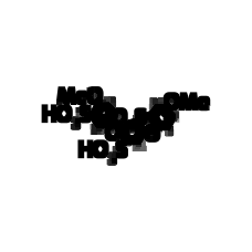 COc1ccc(Oc2ccc(Oc3ccc(OC)c(S(=O)(=O)O)c3)c(S(=O)(=O)O)c2)c(S(=O)(=O)O)c1